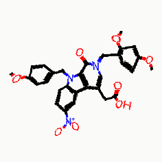 COc1ccc(Cn2c3ccc([N+](=O)[O-])cc3c3c(CC(=O)O)cn(Cc4ccc(OC)cc4OC)c(=O)c32)cc1